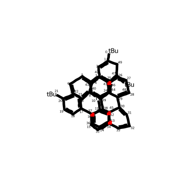 CC(C)(C)C1=CC(c2ccccc2N(c2ccccc2-c2ccc(C(C)(C)C)cc2)c2ccccc2-c2cccc3cccc(-c4ccccc4)c23)=CC(C(C)(C)C)C1